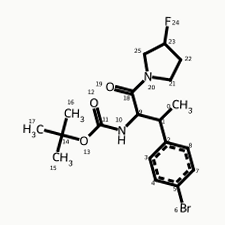 CC(c1ccc(Br)cc1)C(NC(=O)OC(C)(C)C)C(=O)N1CCC(F)C1